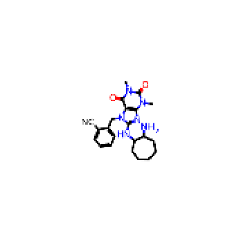 Cn1c(=O)c2c(nc(NC3CCCCCC3N)n2Cc2ccccc2C#N)n(C)c1=O